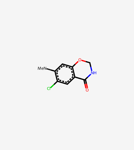 CNc1cc2c(cc1Cl)C(=O)NCO2